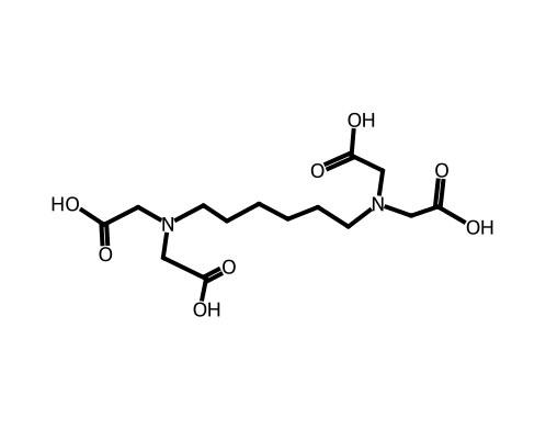 O=C(O)CN(CCCCCCN(CC(=O)O)CC(=O)O)CC(=O)O